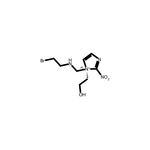 O=[N+]([O-])C1=NC=C[N@+]1(CCO)CNCCBr